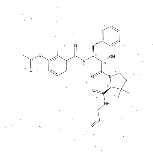 C=CCNC(=O)[C@H]1N(C(=O)[C@@H](O)[C@H](Cc2ccccc2)NC(=O)c2cccc(OC(C)=O)c2C)CSC1(C)C